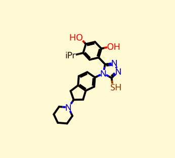 CC(C)c1cc(-c2nnc(S)n2-c2ccc3c(c2)CC(N2CCCCC2)C3)c(O)cc1O